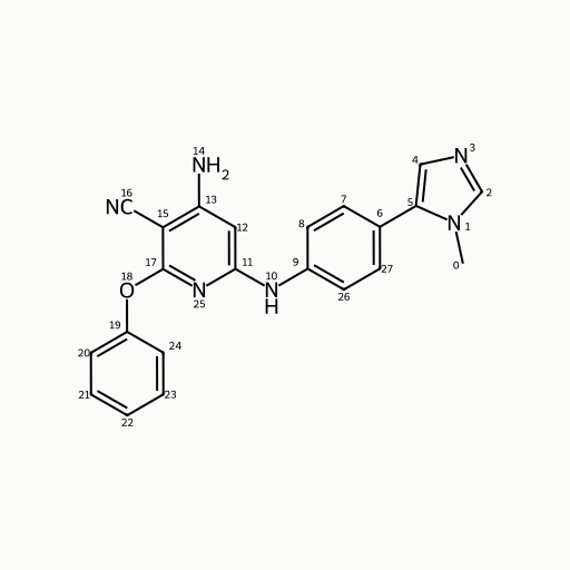 Cn1cncc1-c1ccc(Nc2cc(N)c(C#N)c(Oc3ccccc3)n2)cc1